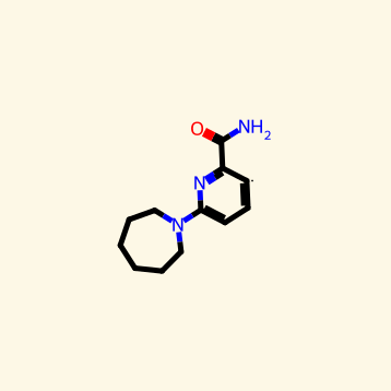 NC(=O)c1[c]ccc(N2CCCCCC2)n1